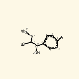 CCCCSC([C@H](O)c1ccc(C)cc1)C(C)(C)C